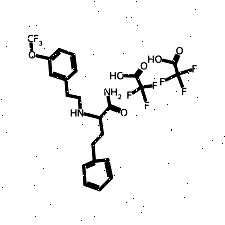 NC(=O)C(CCc1ccccc1)NCCc1cccc(OC(F)(F)F)c1.O=C(O)C(F)(F)F.O=C(O)C(F)(F)F